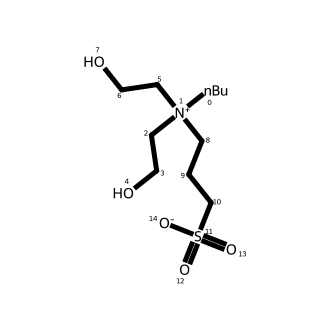 CCCC[N+](CCO)(CCO)CCCS(=O)(=O)[O-]